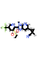 CCS(=O)(=O)c1cc(C(F)(F)F)cnc1-c1nc2cc(C3CC3(C)C#N)cnc2n1C